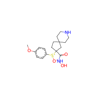 COc1ccc([S+]([O-])C2(C(=O)NO)CCC3(CCNCC3)C2)cc1